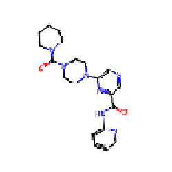 O=C(Nc1ccccn1)c1cncc(N2CCN(C(=O)N3CCCCC3)CC2)n1